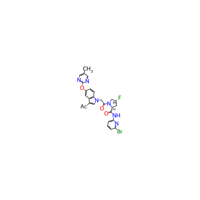 CC(=O)c1cn(CC(=O)N2C[C@H](F)C[C@H]2C(=O)Nc2cccc(Br)n2)c2ccc(Oc3ncc(C)cn3)cc12